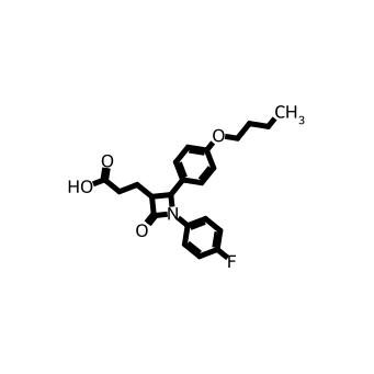 CCCCOc1ccc(C2C(CCC(=O)O)C(=O)N2c2ccc(F)cc2)cc1